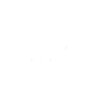 CCOC(=O)C(C)c1cccc2c1CC(Br)C2=O